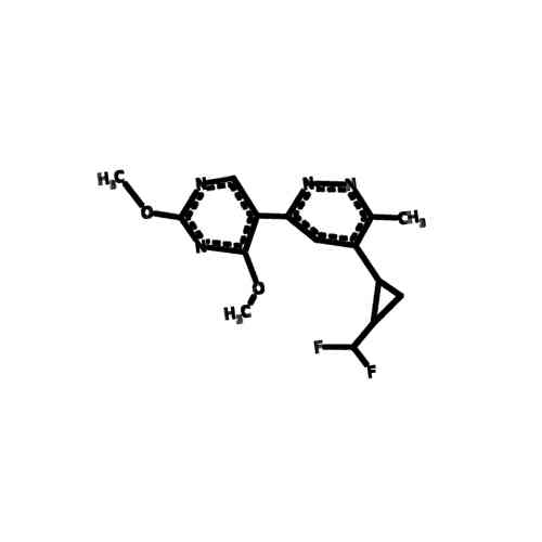 COc1ncc(-c2cc(C3CC3C(F)F)c(C)nn2)c(OC)n1